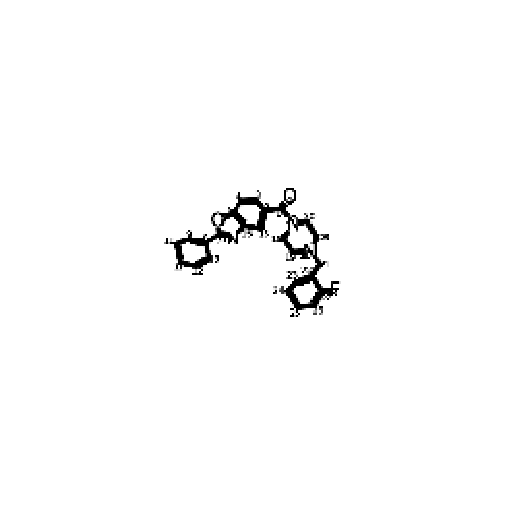 O=C(c1ccc2oc(-c3ccccc3)nc2c1)N1CCN(Cc2ccccc2F)CC1